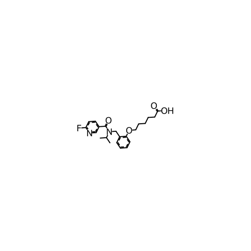 CC(C)N(Cc1ccccc1OCCCCCC(=O)O)C(=O)c1ccc(F)nc1